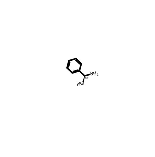 CCCC[C@H](N)c1ccccc1